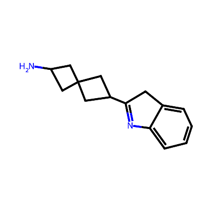 NC1CC2(C1)CC(C1=Nc3ccccc3C1)C2